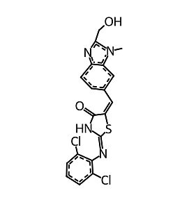 Cn1c(CO)nc2ccc(C=C3SC(=Nc4c(Cl)cccc4Cl)NC3=O)cc21